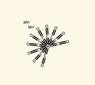 O=[C]=[Mn](=[C]=O)(=[C]=O)(=[C]=O)(=[C]=O)(=[C]=O)(=[C]=O)(=[C]=O)(=[C]=O)=[C]=O.[Mn].[Mn]